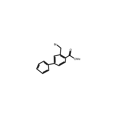 COC(=O)c1ccc(-c2ccccc2)cc1CBr